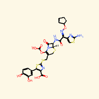 Nc1nc(C(=NOC2CCCC2)C(=O)N[C@@H]2C(=O)N3C(OC(=O)O)=C(CSc4nc(C(=O)O)c(-c5ccc(O)c(O)c5)s4)CS[C@@H]23)cs1